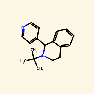 CC(C)(C)N1CCc2ccccc2C1c1ccncc1